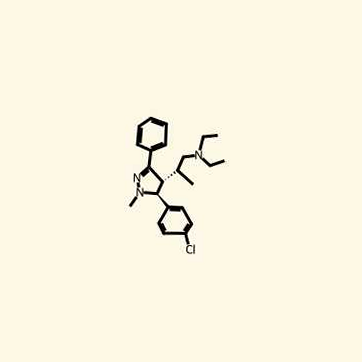 CCN(CC)CC(C)[C@H]1C(c2ccccc2)=NN(C)[C@@H]1c1ccc(Cl)cc1